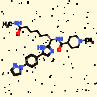 CNC(=O)CCCCC[C@H](NC(=O)C1CCN(C)CC1)c1ncc(-c2ccc(-n3cccn3)cc2)[nH]1